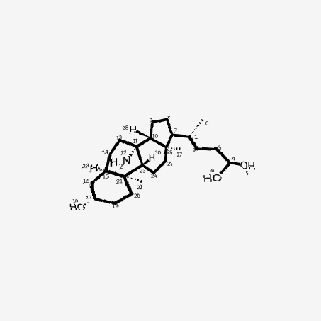 C[C@H](CCC(O)O)C1CC[C@H]2[C@]3(N)CC[C@@H]4C[C@@H](O)CC[C@]4(C)[C@H]3CC[C@]12C